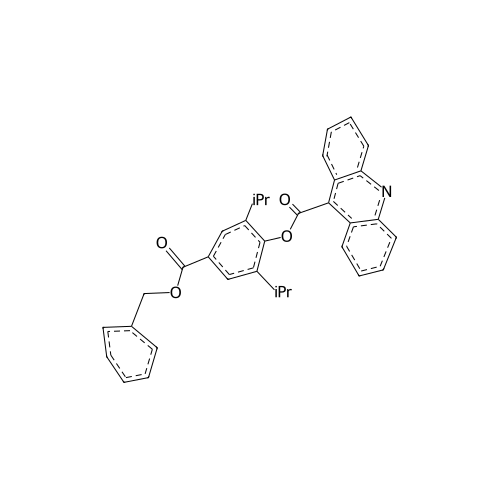 CC(C)c1cc(C(=O)OCc2ccccc2)cc(C(C)C)c1OC(=O)c1c2ccccc2nc2ccccc12